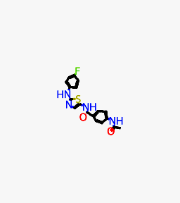 CC(=O)Nc1ccc(C(=O)Nc2cnc(Nc3ccc(F)cc3)s2)cc1